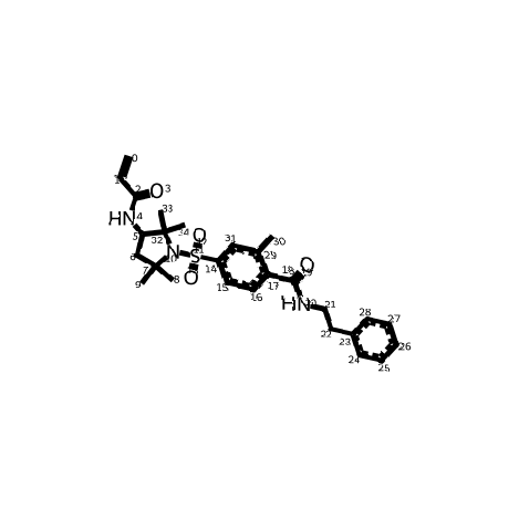 C=CC(=O)NC1CC(C)(C)N(S(=O)(=O)c2ccc(C(=O)NCCc3ccccc3)c(C)c2)C1(C)C